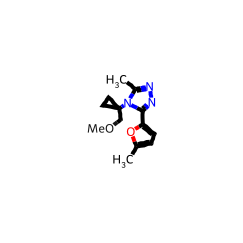 COCC1(n2c(C)nnc2-c2ccc(C)o2)CC1